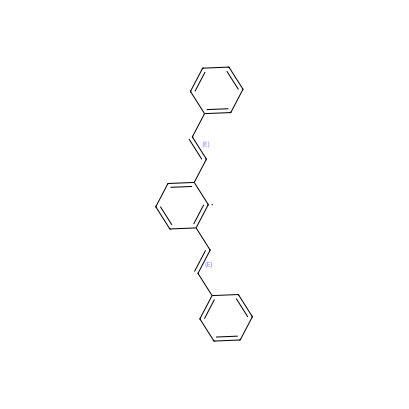 [c]1c(/C=C/c2ccccc2)cccc1/C=C/c1ccccc1